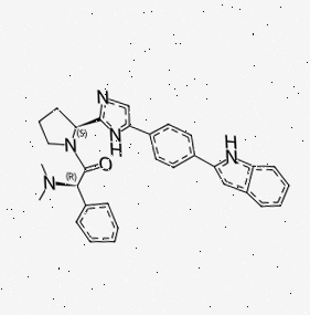 CN(C)[C@@H](C(=O)N1CCC[C@H]1c1ncc(-c2ccc(-c3cc4ccccc4[nH]3)cc2)[nH]1)c1ccccc1